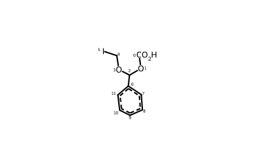 O=C(O)OC(OCI)c1ccccc1